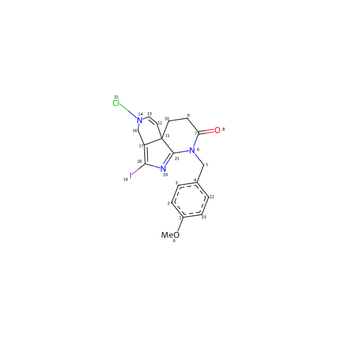 COc1ccc(CN2C(=O)CCC34C=CN(Cl)CC3=C(I)N=C24)cc1